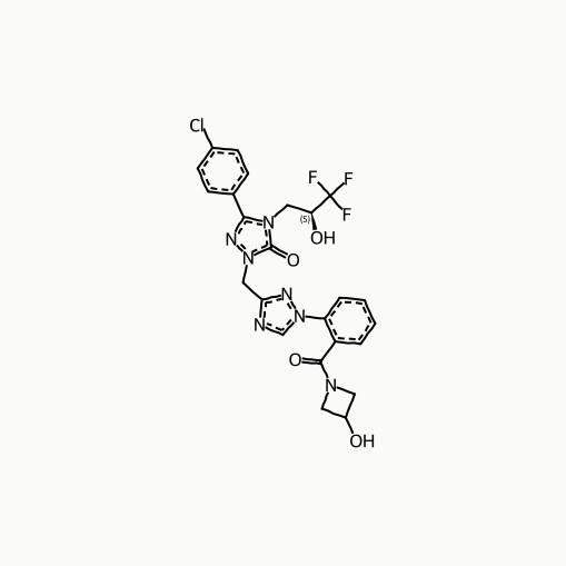 O=C(c1ccccc1-n1cnc(Cn2nc(-c3ccc(Cl)cc3)n(C[C@H](O)C(F)(F)F)c2=O)n1)N1CC(O)C1